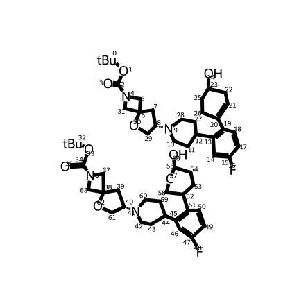 CC(C)(C)OC(=O)N1CC2(C[C@H](N3CCC(c4cc(F)ccc4C4=CCC(O)CC4)CC3)CO2)C1.CC(C)(C)OC(=O)N1CC2(C[C@H](N3CCC(c4cc(F)ccc4C4CCC(O)CC4)CC3)CO2)C1